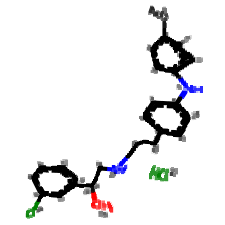 CC(=O)Oc1ccc(Nc2ccc(CCNC[C@@H](O)c3cccc(Cl)c3)cc2)cc1.Cl